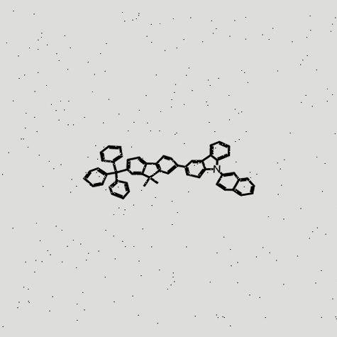 CC1(C)c2cc(-c3ccc4c(c3)c3ccccc3n4-c3ccc4ccccc4c3)ccc2-c2ccc(C(c3ccccc3)(c3ccccc3)c3ccccc3)cc21